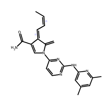 C=c1/c(=C\C=C/C)c(C(N)=O)cn1-c1ccnc(Nc2cc(C)cc(C)n2)n1